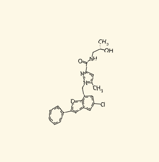 Cc1cc(C(=O)NC[C@H](C)O)nn1Cc1cc(Cl)cc2cc(-c3ccccc3)oc12